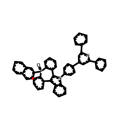 O=P1(c2ccc3ccccc3c2)c2ccccc2-c2c(n(-c3ccc(-c4cc(-c5ccccc5)nc(-c5ccccc5)c4)cc3)c3ccccc23)-c2ccccc21